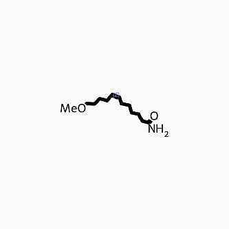 COCCCC/C=C\CCCCCC(N)=O